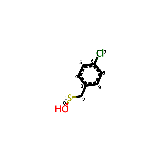 OSCc1ccc(Cl)cc1